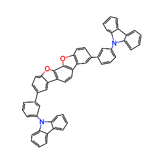 c1cc(-c2ccc3oc4c(ccc5c6cc(-c7cccc(-n8c9ccccc9c9ccccc98)c7)ccc6oc54)c3c2)cc(-n2c3ccccc3c3ccccc32)c1